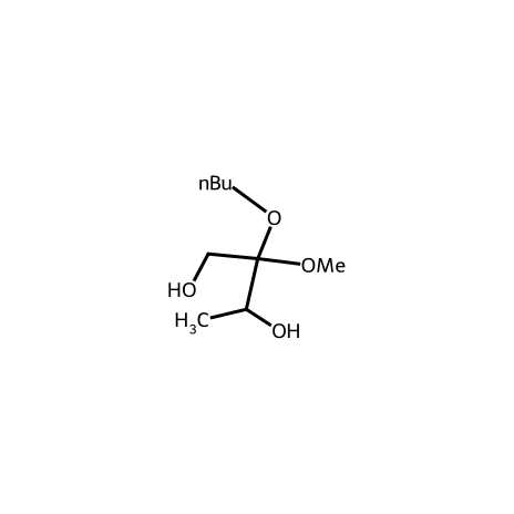 CCCCOC(CO)(OC)C(C)O